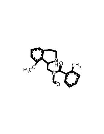 COc1cccc2c1C(CN(C=O)C(=O)c1ccccc1C)NCC2